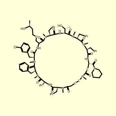 CC(C)C[C@H]1C(=O)N[C@@H](C(C)C)C(=O)N(C)[C@@H](Cc2ccccc2)C(=O)N(C)[C@@H](Cc2cccc(Cl)c2)C(=O)NC(COCC[C@H](C)O)C(=O)N(C)[C@@H](CC(C)C)C(=O)N[C@@H]([C@@H](C)O)C(=O)N(C)[C@@H](CC(C)C)C(=O)N(C)[C@@H](CC(C)C)C(=O)N[C@H](C(=O)N2CCCCC2)CC(=O)N(C)CCCC(=O)N1C